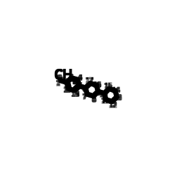 CCc1ccc(C2CCC(C3[CH]CCCC3)CC2)cc1